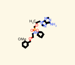 COc1ccccc1COCCNP(=O)(CO[C@H](C)Cn1cnc2c(N)ncnc21)Oc1ccccc1